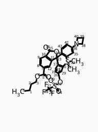 CCCCOC(=O)c1ccc2c(c1)C1(OC2=O)c2ccc(OS(=O)(=O)C(F)(F)F)cc2S(C)(C)c2cc(N3CCC3)ccc21